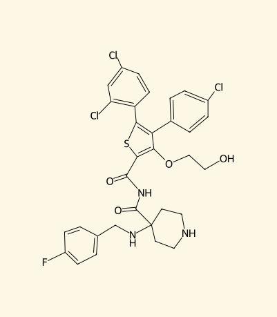 O=C(NC(=O)C1(NCc2ccc(F)cc2)CCNCC1)c1sc(-c2ccc(Cl)cc2Cl)c(-c2ccc(Cl)cc2)c1OCCO